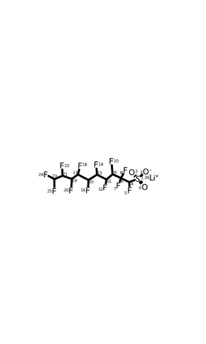 O=S(=O)([O-])C(F)C(F)(F)C(F)C(F)C(F)C(F)C(F)C(F)C(F)C(F)F.[Li+]